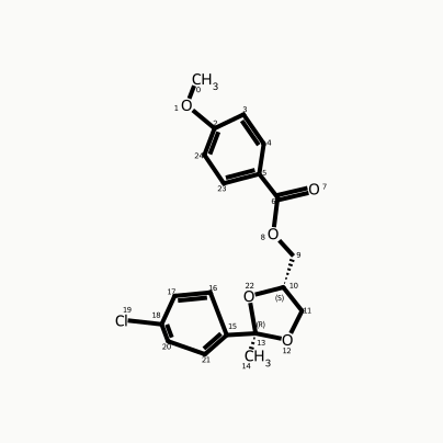 COc1ccc(C(=O)OC[C@@H]2CO[C@@](C)(c3ccc(Cl)cc3)O2)cc1